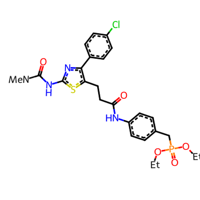 CCOP(=O)(Cc1ccc(NC(=O)CCc2sc(NC(=O)NC)nc2-c2ccc(Cl)cc2)cc1)OCC